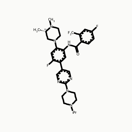 CC(C)N1CCN(c2ncc(-c3cc(NC(=O)c4ccc(F)cc4C(F)(F)F)c(N4CCN(C)[C@@H](C)C4)cc3F)cn2)CC1